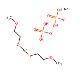 COCC[O][Al+][O]CCOC.O=P([O-])(O)O.O=P([O-])(O)O.[Na+]